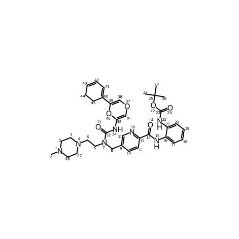 CN1CCN(CCN(Cc2ccc(C(=O)Nc3ccccc3NC(=O)OC(C)(C)C)nc2)C(=O)NC2=COC=C(C3=CC=CCC3)O2)CC1